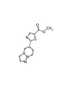 COC(=O)c1cnc(-c2ccn3nccc3c2)s1